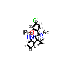 CC(=O)N1CC2(CC2)c2c([nH]c3ccccc23)C1c1ccc(Cl)cc1OC(C)C